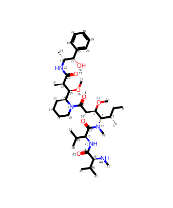 CC[C@H](C)[C@@H]([C@@H](CC(=O)N1CCCC[C@H]1[C@H](OC)[C@@H](C)C(=O)N[C@H](C)[C@@H](O)c1ccccc1)OC)N(C)C(=O)[C@@H](NC(=O)[C@@H](NC)C(C)C)C(C)C